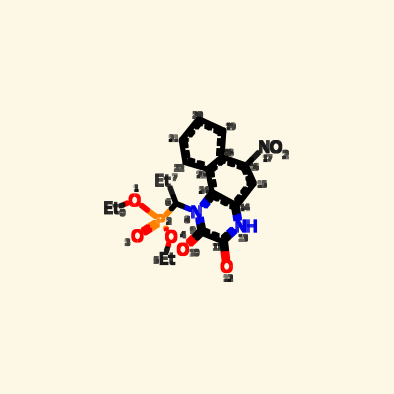 CCOP(=O)(OCC)C(CC)n1c(=O)c(=O)[nH]c2cc([N+](=O)[O-])c3ccccc3c21